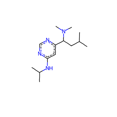 CC(C)CC(c1cc(NC(C)C)ncn1)N(C)C